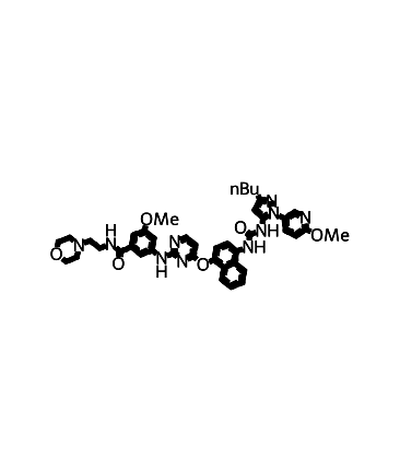 CCCCc1cc(NC(=O)Nc2ccc(Oc3ccnc(Nc4cc(OC)cc(C(=O)NCCN5CCOCC5)c4)n3)c3ccccc23)n(-c2ccc(OC)nc2)n1